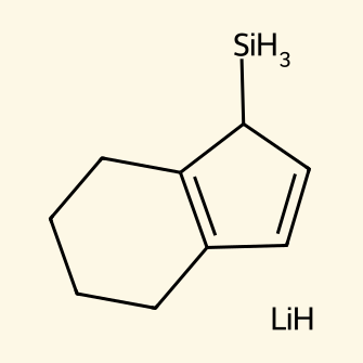 [LiH].[SiH3]C1C=CC2=C1CCCC2